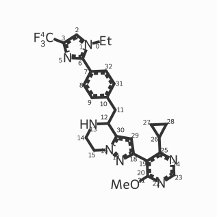 CCn1cc(C(F)(F)F)nc1-c1ccc(CC2NCCn3nc(-c4c(OC)ncnc4C4CC4)cc32)cc1